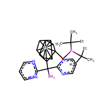 CCC(C)(C)P(C[C]12[CH]3[CH]4[CH]5[C]1(C(P)(c1ncccn1)c1ncccn1)[Fe]43521678[CH]2[CH]1[CH]6[CH]7[CH]28)C(C)(C)CC